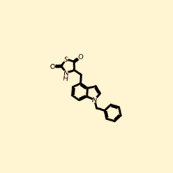 O=C1NC(Cc2cccc3c2ccn3Cc2ccccc2)C(=O)S1